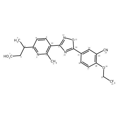 Cc1nc(C(C)CC(=O)O)ccc1-c1noc(-c2ccc(OCC(F)(F)F)c(C#N)c2)n1